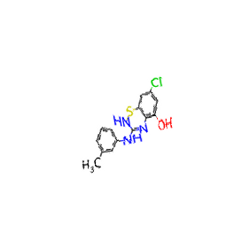 Cc1cccc(NC2=Nc3c(O)cc(Cl)cc3SN2)c1